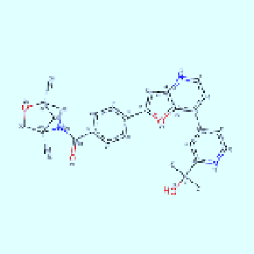 CC(C)(O)c1cc(-c2ccnc3cc(-c4ccc(C(=O)N5C[C@H]6C[C@@H]5CO6)cc4)oc23)ccn1